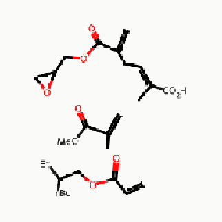 C=C(C)C(=O)OC.C=C(CC=C(C)C(=O)O)C(=O)OCC1CO1.C=CC(=O)OCC(CC)CCCC